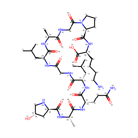 CC(C)C[C@H](NC(=O)CNC(=O)[C@H](CC(C)C)NC(=O)[C@H](CCC(N)=O)NC(=O)[C@H](C)NC(=O)[C@H]1C[C@H](O)CN1)C(=O)N[C@@H](C)C(=O)NCC(=O)N1CCC[C@H]1C(=O)N[C@@H](CCCCN)C(=O)O